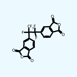 O=C1OC(=O)c2cc(C(F)(F)C(F)(c3ccc4c(c3)C(=O)OC4=O)C(F)(F)F)ccc21